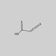 OC(=S)C=C=S